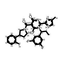 CCC(c1cc(F)cc(F)c1)n1c(-c2nc(C)cs2)nc(=O)c(C(=O)N2CCC(c3ccccc3F)C2)c1O